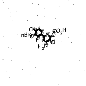 CCCCOc1c(Cl)ccc(-c2cc(N)c(Cl)c(OC(=O)O)n2)c1F